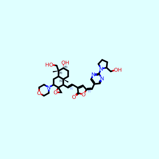 C[C@]12CC[C@@H](O)[C@@](C)(CO)C1CC(N1CCOCC1)C1(CO1)C2/C=C/C1=CC(=C\c2cnc(N3CCCC3CO)nc2)/OC1=O